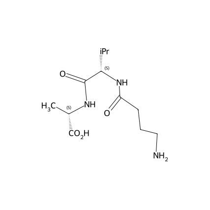 CC(C)[C@H](NC(=O)CCCN)C(=O)N[C@@H](C)C(=O)O